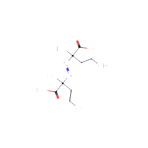 CCCC(C)(N=NC(C)(CCC)C(=O)O)C(=O)O